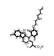 CC(CN1[C@H](c2c(F)ccc(OCCNCCCF)c2F)c2[nH]c3ccc(F)cc3c2C[C@H]1C)C(=O)O